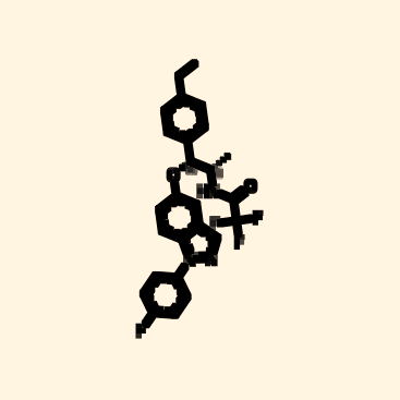 CCc1ccc([C@@H](Oc2ccc3c(cnn3-c3ccc(F)cc3)c2)[C@H](C)NC(=O)C(F)(F)F)cc1